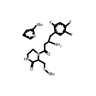 CC(C)(C)SCC1C(=O)NCCN1C(=O)CC(N)Cc1cc(F)c(F)cc1F.CC(C)(C)c1cccs1